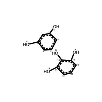 Oc1cccc(O)c1.Oc1cccc(O)c1O